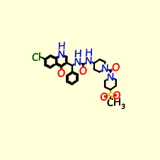 CS(=O)(=O)C1CCN(C(=O)N2CCC(NC(=O)NC(c3ccccc3)c3c[nH]c4cc(Cl)ccc4c3=O)CC2)CC1